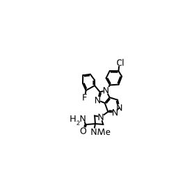 CNC1(C(N)=O)CN(c2nncc3c2nc(-c2ccccc2F)n3-c2ccc(Cl)cc2)C1